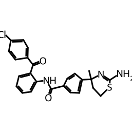 CC1(c2ccc(C(=O)Nc3ccccc3C(=O)c3ccc(Cl)cc3)cc2)CCSC(N)=N1